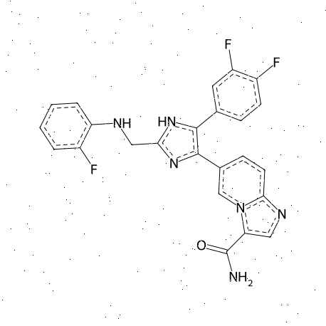 NC(=O)c1cnc2ccc(-c3nc(CNc4ccccc4F)[nH]c3-c3ccc(F)c(F)c3)cn12